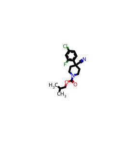 CC(C)COC(=O)N1CCC(C#N)(c2ccc(Cl)cc2F)CC1